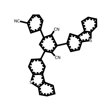 N#Cc1cccc(-c2cc(-c3ccc4sc5ccccc5c4c3)c(C#N)c(-c3ccc4sc5ccccc5c4c3)c2C#N)c1